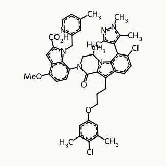 COc1ccc(N2C[C@@H](C)n3c(c(CCCOc4cc(C)c(Cl)c(C)c4)c4ccc(Cl)c(-c5c(C)nn(C)c5C)c43)C2=O)c2c1cc(C(=O)O)n2Cc1cc(C)ccn1